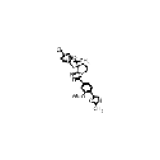 COc1cc(-c2nnc3n2CCCC3(Cc2ccc(Cl)cc2)C(C)(C)O)ccc1-c1cnc(C)o1